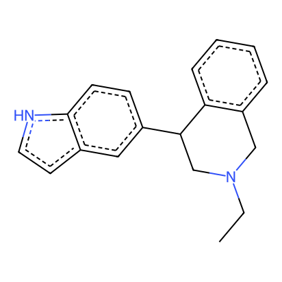 CCN1Cc2ccccc2C(c2ccc3[nH]ccc3c2)C1